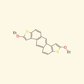 CCOc1cc2c(ccc3cc4c(ccc5sc(OCC)cc54)cc32)s1